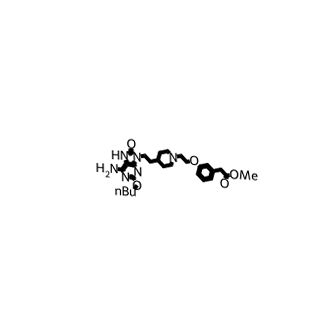 CCCCOc1nc(N)c2[nH]c(=O)n(CCC3CCN(CCOc4cccc(CC(=O)OC)c4)CC3)c2n1